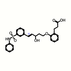 O=C(O)CCc1ccccc1OCCC(O)/C=C/c1cccc(S(=O)(=O)Nc2ccccc2)c1